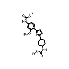 CC(C)OC(=O)Nc1ccc(-c2cnc(C3CCC(NC(=O)OC(C)C)CC3)s2)c(SC(C)C)c1